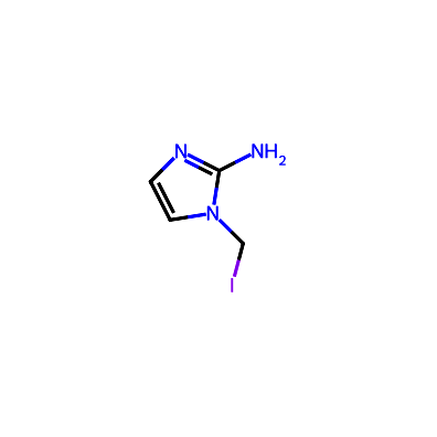 Nc1nccn1CI